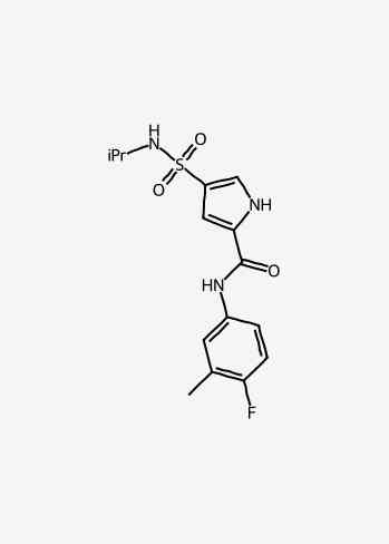 Cc1cc(NC(=O)c2cc(S(=O)(=O)NC(C)C)c[nH]2)ccc1F